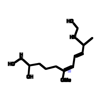 CO/C(=C/C=CC(C)NCO)CCCC(O)NO